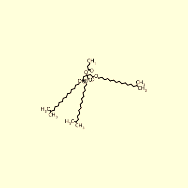 CCCC(=O)OC(CC(=O)OCCCCCCCCCCCCCC(C)C)(CC(=O)OCCCCCCCCCCCCCC(C)C)C(=O)OCCCCCCCCCCCCCC(C)C